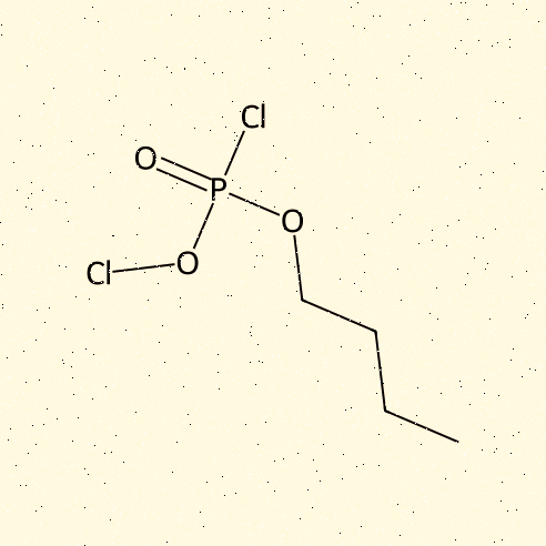 CCCCOP(=O)(Cl)OCl